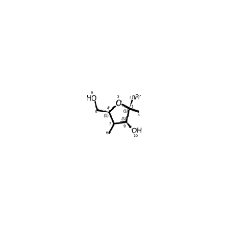 CCC[C@]1(C)O[C@H](CO)C(C)[C@@H]1O